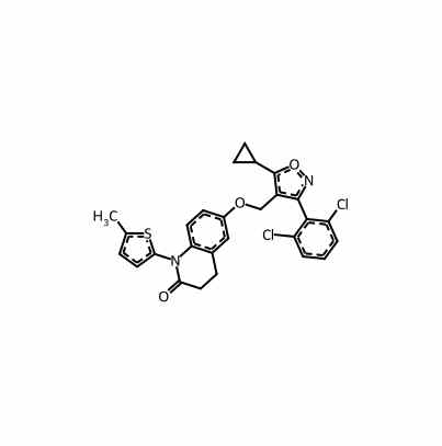 Cc1ccc(N2C(=O)CCc3cc(OCc4c(-c5c(Cl)cccc5Cl)noc4C4CC4)ccc32)s1